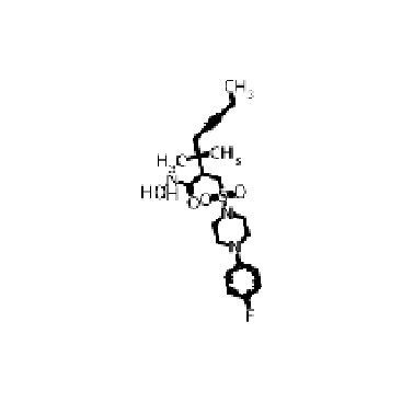 CCC#CCC(C)(C)C(CS(=O)(=O)N1CCN(c2ccc(F)cc2)CC1)C(=O)NO